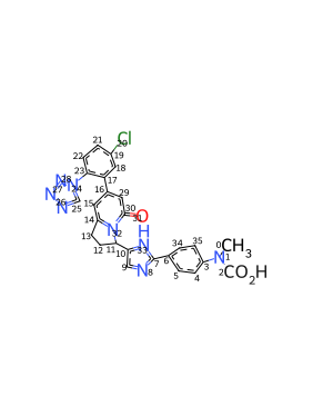 CN(C(=O)O)c1ccc(-c2ncc(C3CCc4cc(-c5cc(Cl)ccc5-n5cnnn5)cc(=O)n43)[nH]2)cc1